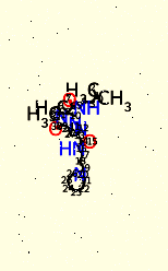 CC(C)CCNC(=O)C1(C)Cn2nc(C(=O)NCCCN3CCCCCC3)cc2C(=O)N1C